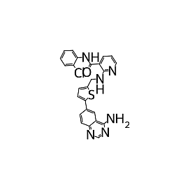 Nc1ncnc2ccc(-c3ccc(CNc4ncccc4C(=O)Nc4ccccc4Cl)s3)cc12